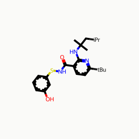 CC(C)CC(C)(C)Nc1nc(C(C)(C)C)ccc1C(=O)NSc1cccc(O)c1